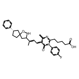 C=c1nc(CCCCC(=O)O)n(-c2ccc(F)cc2)c(=O)/c1=C/C=C(\C)C1CC2(CC[C@H](c3ccccc3)C2)ON1